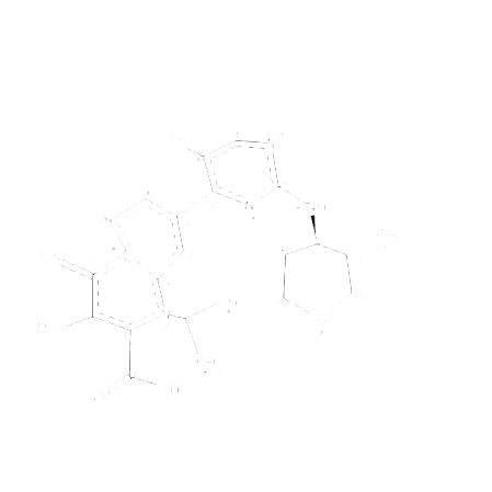 Cc1c(C(=O)O)n(C(C)C)c2cc(-c3nc(N[C@@H]4CCOC[C@H]4O)ncc3F)ccc2c1=O